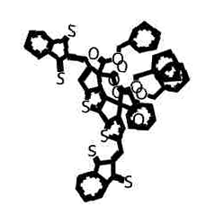 O=C(OCc1ccccc1)C1(C(=O)OCc2ccccc2)C(C=C2C(=S)c3ccccc3C2=S)=Cc2sc3c(c21)C(C(=O)OCc1ccccc1)(C(=O)OCc1ccccc1)c1cc(C=C2C(=S)c4ccccc4C2=S)sc1-3